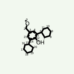 COCc1cc(C2CCCCC2)c(O)c(C2CCCCC2)c1